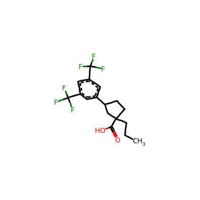 CCCC1(C(=O)O)CCC(c2cc(C(F)(F)F)cc(C(F)(F)F)c2)C1